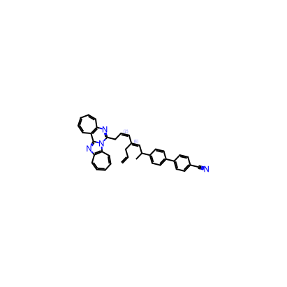 C=CCC(/C=C\Cc1nc2c(c3nc4c(n13)C=CC=C=C4)C=C=CC=C2)=C\C(C)c1ccc(-c2ccc(C#N)cc2)cc1